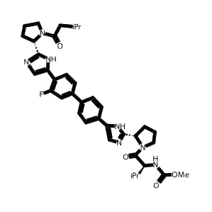 COC(=O)N[C@H](C(=O)N1CCC[C@H]1c1ncc(-c2ccc(-c3ccc(-c4cnc([C@@H]5CCCN5C(=O)CC(C)C)[nH]4)c(F)c3)cc2)[nH]1)C(C)C